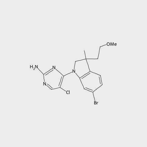 COCCC1(C)CN(c2nc(N)ncc2Cl)c2cc(Br)ccc21